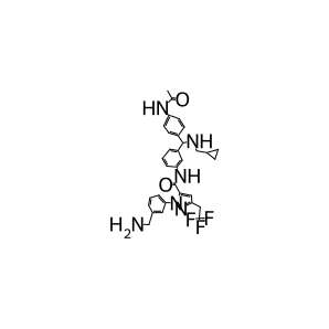 CC(=O)Nc1ccc(C(NCC2CC2)c2cccc(NC(=O)c3cc(CC(F)(F)F)nn3-c3cccc(CN)c3)c2)cc1